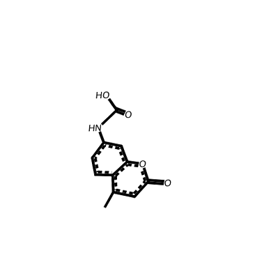 Cc1cc(=O)oc2cc(NC(=O)O)ccc12